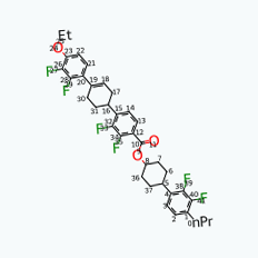 CCCc1ccc(C2CCC(OC(=O)c3ccc(C4CC=C(c5ccc(OCC)c(F)c5F)CC4)c(F)c3F)CC2)c(F)c1F